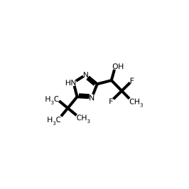 CC(C)(C)c1nc(C(O)C(C)(F)F)n[nH]1